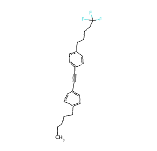 CCCCCc1ccc(C#Cc2ccc(CCCCC(F)(F)F)cc2)cc1